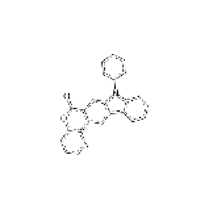 O=c1oc2cccnc2c2cc3c4ccccc4n(-c4ccccc4)c3cc12